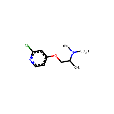 CC(COc1ccnc(Cl)c1)N(C(=O)O)C(C)(C)C